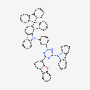 c1cc(-c2nc(-c3cccc4c3oc3ccccc34)nc(-n3c4ccccc4c4ccccc43)n2)cc(-n2c3ccccc3c3ccc4c(c32)-c2ccccc2C42c3ccccc3-c3ccccc32)c1